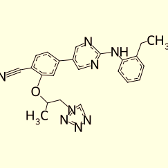 CCc1ccccc1Nc1ncc(-c2ccc(C#N)c(OC(C)Cn3cnnn3)c2)cn1